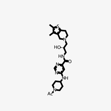 CC(=O)N1CCC(Nc2cc(C(=O)NC[C@H](O)CN3CCc4sc(C)c(C)c4C3)ncn2)CC1